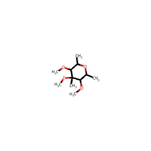 COC1C(C)OC(C)C(OC)C1(C)OC